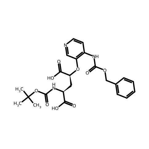 CC(C)(C)OC(=O)N[C@@H](C[C@H](Oc1cnccc1NC(=O)OCc1ccccc1)C(=O)O)C(=O)O